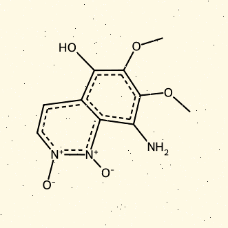 COc1c(OC)c(N)c2c(cc[n+]([O-])[n+]2[O-])c1O